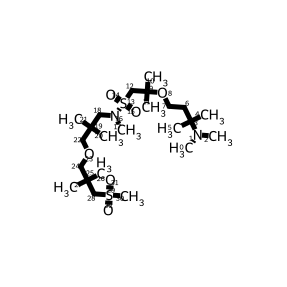 CN(C)C(C)(C)CCOC(C)(C)CS(=O)(=O)N(C)CC(C)(C)COCC(C)(C)CS(C)(=O)=O